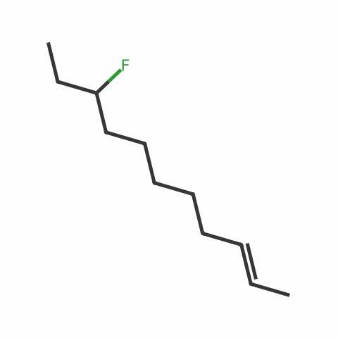 C/C=C/CCCCCC(F)CC